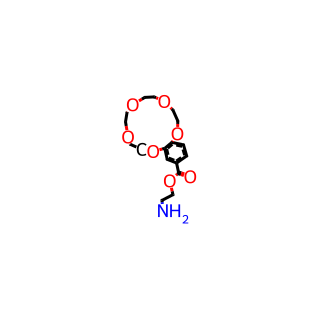 NCCOC(=O)c1ccc2c(c1)OCCOCCOCCOCCO2